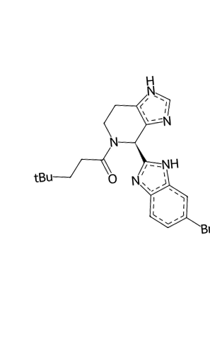 CC(C)(C)CCC(=O)N1CCc2[nH]cnc2[C@H]1c1nc2ccc(Br)cc2[nH]1